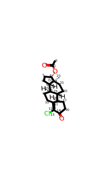 CC(=O)O[C@H]1CC[C@H]2[C@@H]3CCC4=C(Cl)C(=O)CC[C@@H]4[C@H]3CC[C@]12C